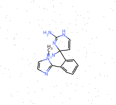 Cn1ccnc1-c1ccccc1C1(N)C=CNC(N)=N1